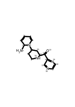 NC1C=CC=CN1C1CCNC(C(=O)c2cnccn2)C1